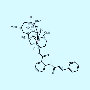 CCN1C[C@]2(OC(=O)c3ccccc3NC(=O)/C=C/c3ccccn3)CC[C@H](OC)[C@]34C1[C@@H](C[C@H]23)[C@@]1(O)C[C@H](OC)C[C@H]2C[C@@H]4[C@]1(O)[C@H]2OC